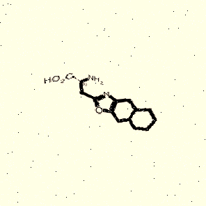 N[C@H](Cc1nc2c(o1)CC1CCCCC1C2)C(=O)O